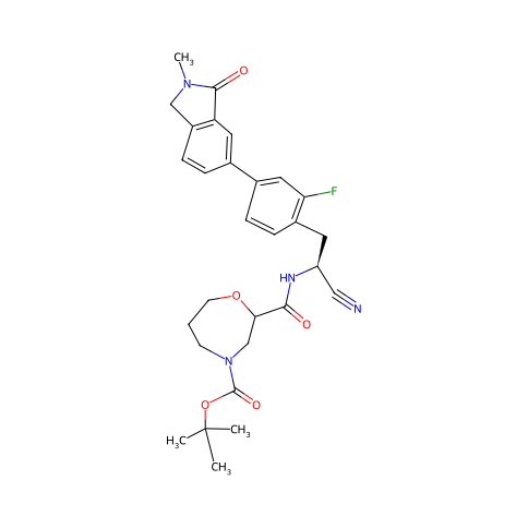 CN1Cc2ccc(-c3ccc(C[C@@H](C#N)NC(=O)C4CN(C(=O)OC(C)(C)C)CCCO4)c(F)c3)cc2C1=O